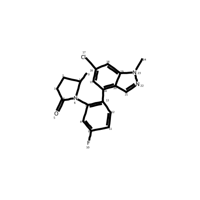 CC1CCC(=O)N1c1cc(F)ccc1-c1cc(Cl)cc2c1cnn2C